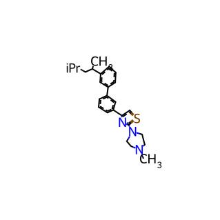 CC(C)CC(C)c1cccc(-c2cccc(-c3csc(N4CCN(C)CC4)n3)c2)c1